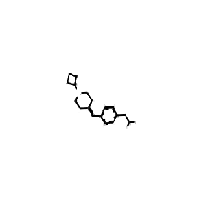 CC(O)Cc1ccc(C=C2CCN(C3CCC3)CC2)cc1